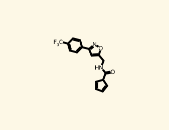 O=C(NCc1cc(-c2ccc(C(F)(F)F)cc2)no1)C1C=CC=C1